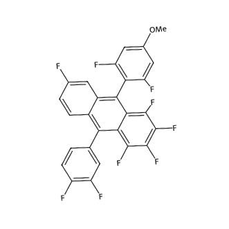 COc1cc(F)c(-c2c3cc(F)ccc3c(-c3ccc(F)c(F)c3)c3c(F)c(F)c(F)c(F)c23)c(F)c1